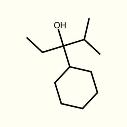 CCC(O)(C(C)C)C1CCCCC1